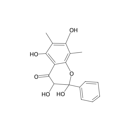 Cc1c(O)c(C)c2c(c1O)C(=O)C(O)C(O)(c1ccccc1)O2